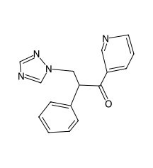 O=C(c1cccnc1)C(Cn1cncn1)c1ccccc1